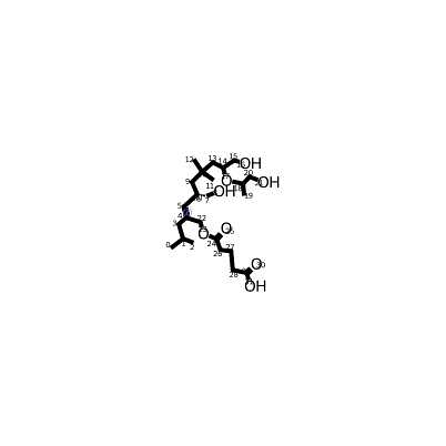 CC(C)C/C(=C/[C@@H](CO)CC(C)(C)CC(CO)OC(C)CO)COC(=O)CCCC(=O)O